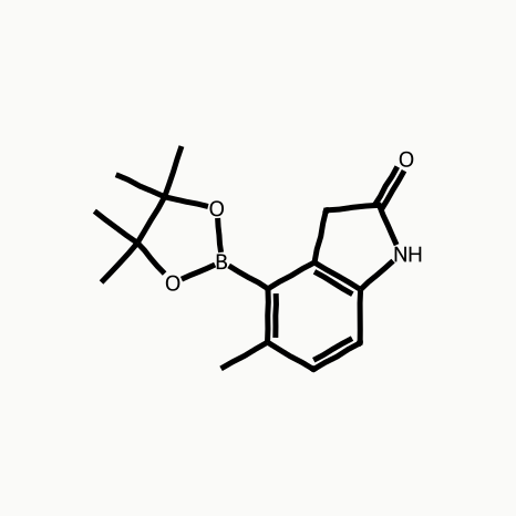 Cc1ccc2c(c1B1OC(C)(C)C(C)(C)O1)CC(=O)N2